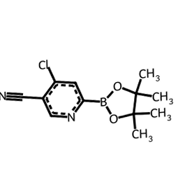 CC1(C)OB(c2cc(Cl)c(C#N)cn2)OC1(C)C